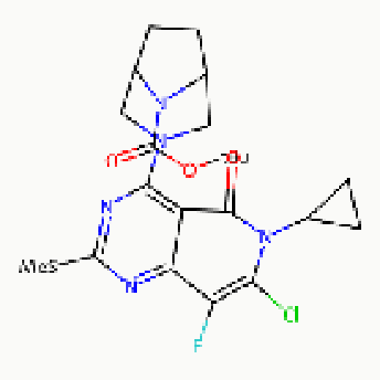 CSc1nc(N2CC3CCC(C2)N3C(=O)OC(C)(C)C)c2c(=O)n(C3CC3)c(Cl)c(F)c2n1